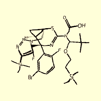 CC(C)(C)C(OCC[Si](C)(C)C)N(C(=O)O)C1=N[C@](CF)(c2cc(Br)ccc2F)[C@H]2C[C@@]2(Cn2cc([Si](C)(C)C)nn2)S1